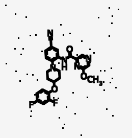 COc1cncc(C(=O)Nc2cc(C#N)ccc2N2CCC(Oc3ccc(F)cc3F)CC2)n1